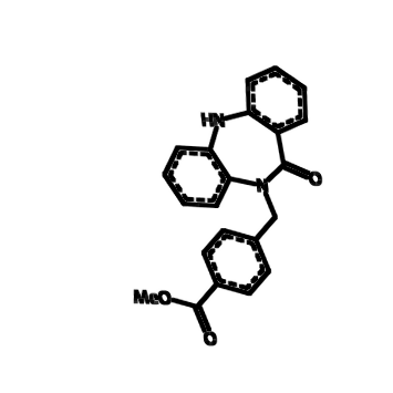 COC(=O)c1ccc(CN2C(=O)c3ccccc3Nc3ccccc32)cc1